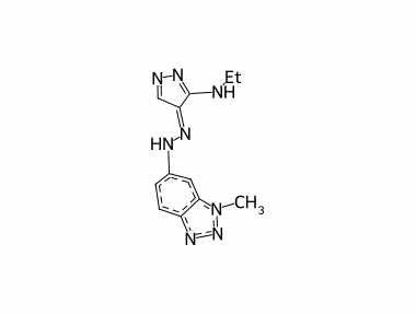 CCNC1=NN=C/C1=N\Nc1ccc2nnn(C)c2c1